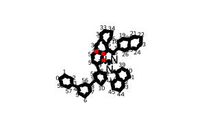 c1ccc(-c2cccc(-c3ccc(N(c4nc(-c5ccc6ccccc6c5)c5c(ccc6ccccc65)n4)c4cccc5ccccc45)c(-c4ccccc4)c3)c2)cc1